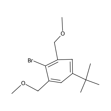 COCc1cc(C(C)(C)C)cc(COC)c1Br